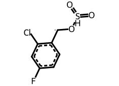 O=[SH](=O)O[CH]c1ccc(F)cc1Cl